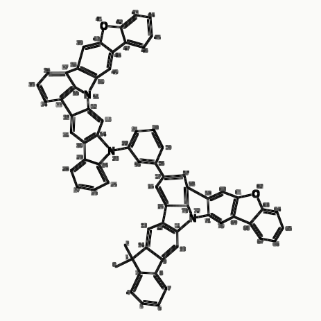 CC1(C)c2ccccc2-c2cc3c(cc21)c1cc(-c2cccc(-n4c5ccccc5c5cc6c7cccc8c9cc%10oc%11ccccc%11c%10cc9n(c6cc54)c87)c2)cc2c4cc5oc6ccccc6c5cc4n3c12